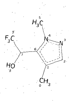 Cc1cnn(C)c1C(O)C(F)(F)F